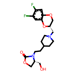 O=C1OC[C@@H](CO)N1CCC1CCN(C[C@H]2COc3cc(F)c(F)cc3O2)CC1